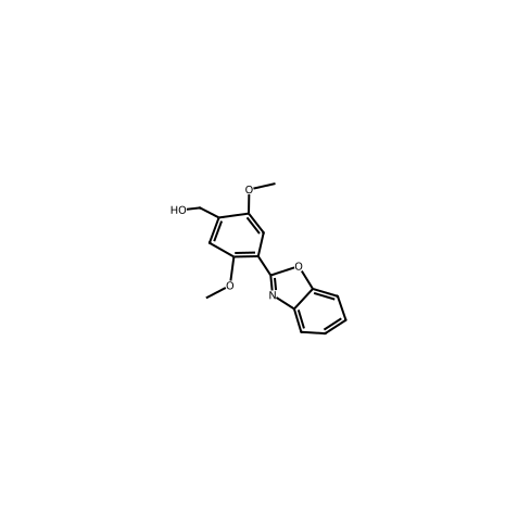 COc1cc(-c2nc3ccccc3o2)c(OC)cc1CO